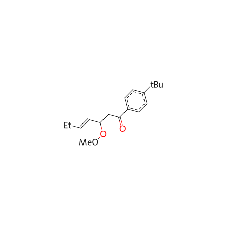 CC/C=C/C(CC(=O)c1ccc(C(C)(C)C)cc1)OOC